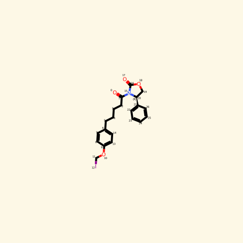 O=C(CCCCc1ccc(OCI)cc1)N1C(=O)OC[C@H]1c1ccccc1